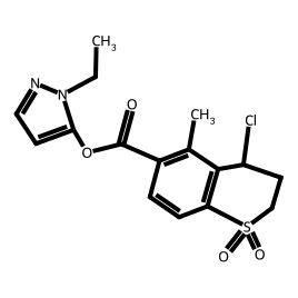 CCn1nccc1OC(=O)c1ccc2c(c1C)C(Cl)CCS2(=O)=O